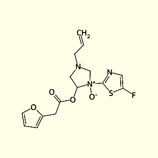 C=CCN1CC(OC(=O)Cc2ccco2)[N+]([O-])(c2ncc(F)s2)C1